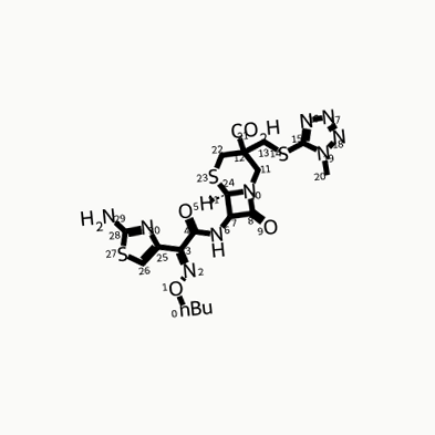 CCCCON=C(C(=O)NC1C(=O)N2CC(CSc3nnnn3C)(C(=O)O)CS[C@H]12)c1csc(N)n1